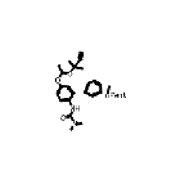 C#CC(C)(C)OC(C)Oc1ccc(NC(=O)N(C)C)cc1.CCCCCC.c1ccccc1